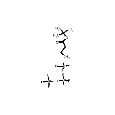 CCCC(=O)OC(C)(C)C.F[B-](F)(F)F.F[B-](F)(F)F.F[B-](F)(F)F